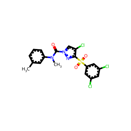 Cc1cccc(N(C)C(=O)n2cc(Cl)c(S(=O)(=O)c3cc(Cl)cc(Cl)c3)n2)c1